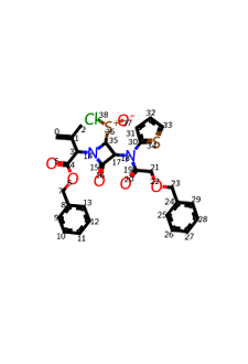 C=C(C)C(C(=O)OCc1ccccc1)N1C(=O)C(N(C(=O)COCc2ccccc2)c2cccs2)C1[S+]([O-])Cl